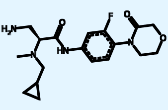 CN(CC1CC1)[C@@H](CN)C(=O)Nc1ccc(N2CCOCC2=O)c(F)c1